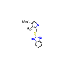 COc1ccnc(CSC2Nc3ccccc3N2)c1C